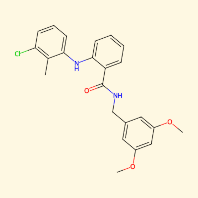 COc1cc(CNC(=O)c2ccccc2Nc2cccc(Cl)c2C)cc(OC)c1